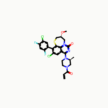 C=CC(=O)N1CCN(c2nc(=O)n3c4c(c(-c5cc(Cl)c(F)cc5F)c(Cl)cc24)SC[C@H](OC)C3)[C@@H](C)C1